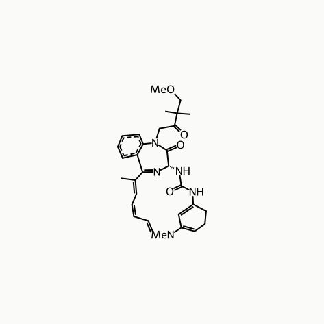 C=C/C=C\C=C(/C)C1=N[C@@H](NC(=O)NC2=CC(NC)=CCC2)C(=O)N(CC(=O)C(C)(C)COC)c2ccccc21